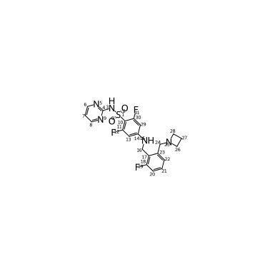 O=S(=O)(Nc1ncccn1)c1c(F)cc(NCc2c(F)cccc2CN2CCC2)cc1F